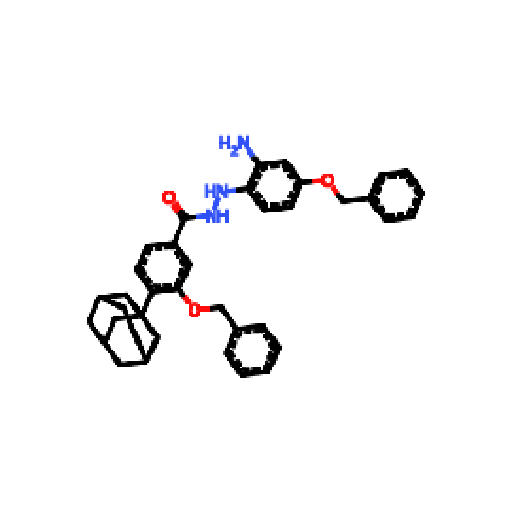 Nc1cc(OCc2ccccc2)ccc1NNC(=O)c1ccc(C23CC4CC(CC(C4)C2)C3)c(OCc2ccccc2)c1